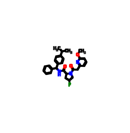 COc1cccc(CC(=O)N2CC(F)CC2C(=O)NC(c2ccccc2)c2ccc(C(C)C)cc2)n1